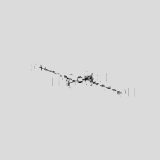 O=C(OC(O)CCCCCCCCCO)c1ccc(C(=O)OC(O)CCCCCCCCCO)cc1